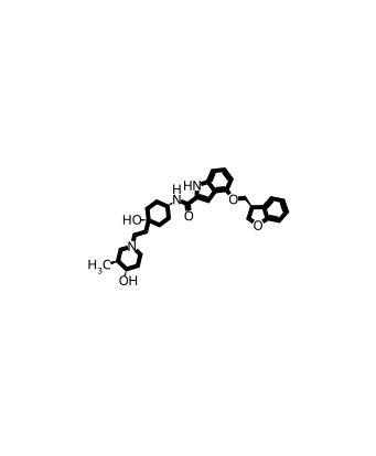 C[C@H]1CN(CC[C@]2(O)CC[C@@H](NC(=O)c3cc4c(OC[C@@H]5COc6ccccc65)cccc4[nH]3)CC2)CC[C@@H]1O